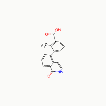 Cc1c(C(=O)O)cccc1-c1cccc2c(=O)[nH]ccc12